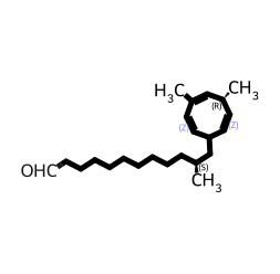 CC1=C[C@H](C)/C=C\C(C[C@@H](C)CCCCCCCCCC=O)/C=C\1